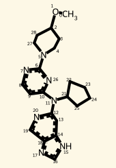 COC1CCN(c2nccc(N(c3cc4[nH]cnc4cn3)C3CCCC3)n2)CC1